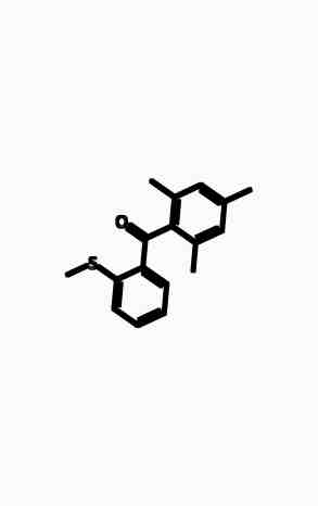 CSc1ccccc1C(=O)c1c(C)cc(C)cc1C